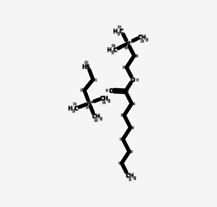 CCCCCCCC(=O)OCC[N+](C)(C)C.C[N+](C)(C)CCS